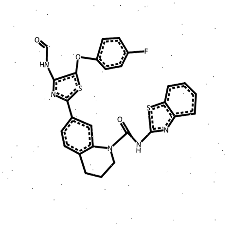 O=[C]Nc1nc(-c2ccc3c(c2)N(C(=O)Nc2nc4ccccc4s2)CCC3)sc1Oc1ccc(F)cc1